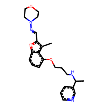 Cc1c(/C=N/N2CCOCC2)oc2cccc(OCCCNC(C)c3cccnc3)c12